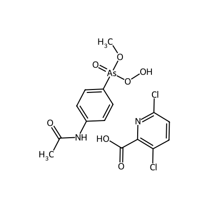 CO[As](=O)(OO)c1ccc(NC(C)=O)cc1.O=C(O)c1nc(Cl)ccc1Cl